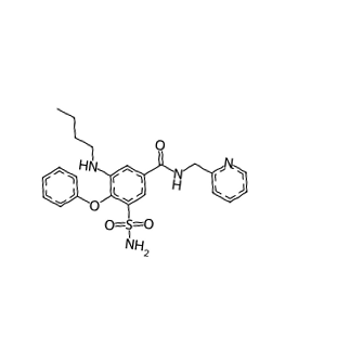 CCCCNc1cc(C(=O)NCc2ccccn2)cc(S(N)(=O)=O)c1Oc1ccccc1